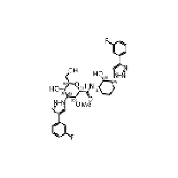 CO[C@@H]1[C@@H](n2cc(-c3cccc(F)c3)nn2)[C@@H](O)[C@@H](CO)O[C@H]1C(=O)N[C@H]1CCC[C@@H](n2cc(-c3cccc(F)c3)nn2)[C@@H]1O